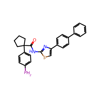 O=C(Nc1nc(-c2ccc(-c3ccccc3)cc2)cs1)C1(c2ccc(P)cc2)CCCC1